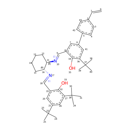 C=Cc1ccc(-c2cc(/C=N/[C@@H]3CCCC[C@H]3/N=C/c3cc(C(C)(C)C)cc(C(C)(C)C)c3O)c(O)c(C(C)(C)C)c2)cc1